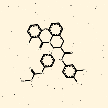 Cc1ccc(NC(=O)C2Cc3ccccc3N(C(=O)c3c(C)cccc3F)[C@H]2c2ccc(NC(=O)OC(C)(C)C)cc2)cc1C(F)(F)F